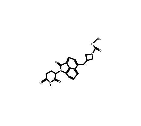 CC(C)(C)OC(=O)N1CC(Cc2ccc3c4c(cccc24)N(C2CCC(=O)N(I)C2=O)C3=O)C1